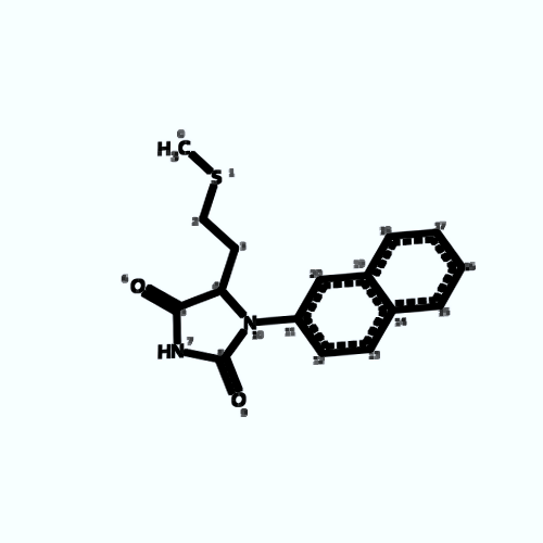 CSCCC1C(=O)NC(=O)N1c1ccc2ccccc2c1